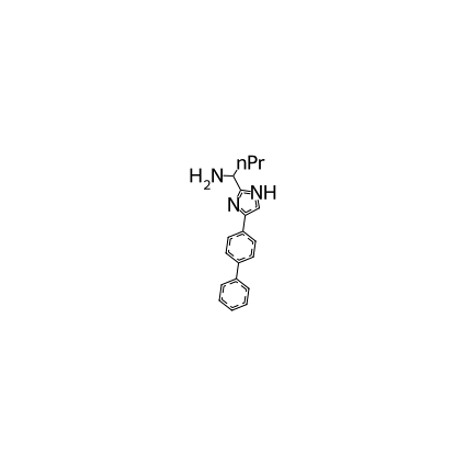 CCCC(N)c1nc(-c2ccc(-c3ccccc3)cc2)c[nH]1